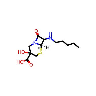 CCCCCNC1C(=O)N2CC(O)(C(=O)O)CS[C@H]12